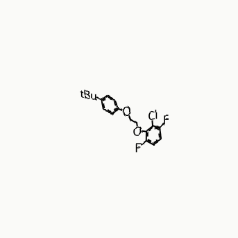 CC(C)(C)c1ccc(OCCOc2c(F)ccc(F)c2Cl)cc1